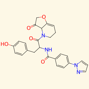 O=C(NC(Cc1ccc(O)cc1)C(=O)N1CCC=C2OCC(=O)C21)c1ccc(-n2cccn2)cc1